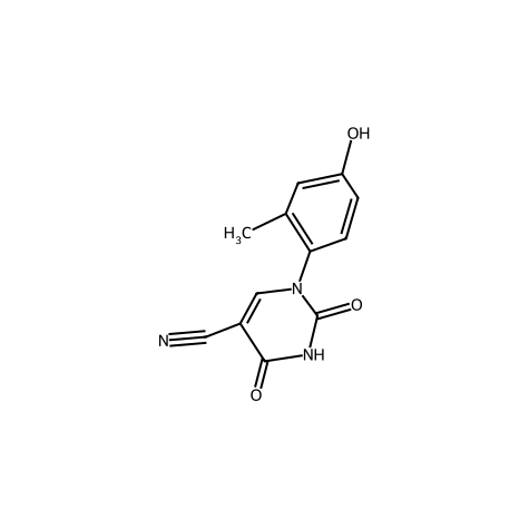 Cc1cc(O)ccc1-n1cc(C#N)c(=O)[nH]c1=O